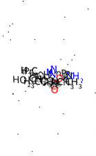 CCCc1ncnn1[C@@H]1C[C@@]23COC[C@](C)([C@@H]2CC[C@H]2C3=CC[C@@]3(C)[C@H](C(=O)O)[C@@](C)([C@H](C)C(C)C)CC[C@]23C)[C@H]1OC[C@](C)(N)C(C)C